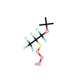 CC(C)(C)OC(F)(F)C(F)(SOOO)C(F)(F)F